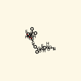 C[Si](C)(C)CCOC(=O)N[C@H]1C[C@H]2C[C@@H](C(=O)OC(c3ccccc3)c3ccc(C[Si](C)(C)CCOC(=O)N[C@]4(C(=O)OC(c5ccccc5)c5ccccc5)[C@@H]5C[C@@H]6C[C@H]4C[C@@](F)(C6)C5)cc3)C[C@](F)(C2)C1